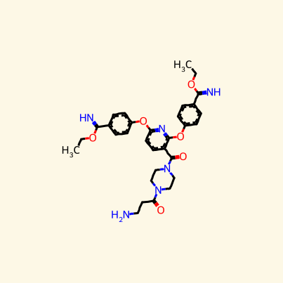 CCOC(=N)c1ccc(Oc2ccc(C(=O)N3CCN(C(=O)CCN)CC3)c(Oc3ccc(C(=N)OCC)cc3)n2)cc1